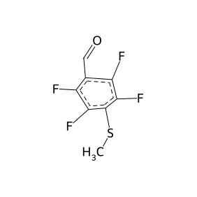 CSc1c(F)c(F)c(C=O)c(F)c1F